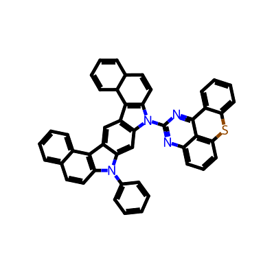 C1=CC2C=Cc3c(c4cc5c6c7ccccc7ccc6n(-c6ccccc6)c5cc4n3-c3nc4c5c(cccc5n3)Sc3ccccc3-4)C2C=C1